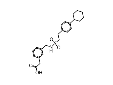 O=C(O)Cc1cccc(CNS(=O)(=O)CCc2ccc(C3CCCCC3)cc2)c1